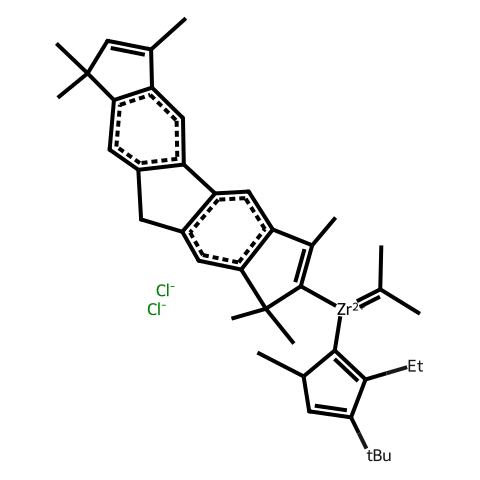 CCC1=[C]([Zr+2]([C]2=C(C)c3cc4c(cc3C2(C)C)Cc2cc3c(cc2-4)C(C)=CC3(C)C)=[C](C)C)C(C)C=C1C(C)(C)C.[Cl-].[Cl-]